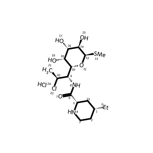 CC[C@@H]1CCN[C@H](C(=O)N[C@@H]([C@H]2O[C@H](SC)[C@H](O)[C@@H](O)[C@H]2O)[C@H](C)Cl)C1.Cl